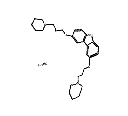 Cl.Cl.c1cc2oc3ccc(OCCCN4CCCCC4)cc3c2cc1OCCCN1CCCCC1